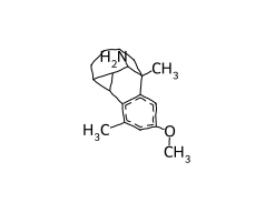 COc1cc(C)c2c(c1)C1(C)CCCCC3C2C3C1N